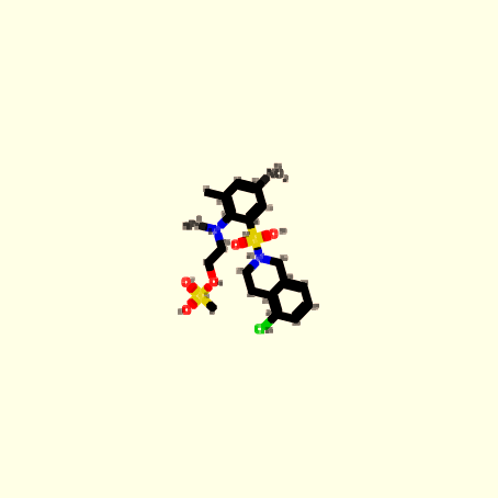 CCCN(CCOS(C)(=O)=O)c1c(C)cc([N+](=O)[O-])cc1S(=O)(=O)N1CCc2c(Cl)cccc2C1